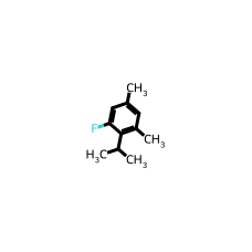 Cc1cc(C)c(C(C)C)c(F)c1